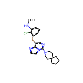 O=CNc1cccc(Sc2cnc(N3CCC4(CCCC4)CC3)n3ccnc23)c1Cl